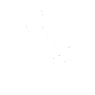 CCO[Si](CCCSC1(C)CCCC(=O)C1)(OCC)OCC